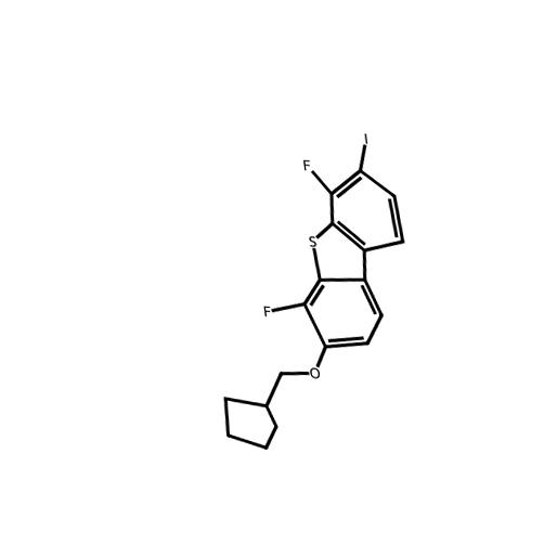 Fc1c(I)ccc2c1sc1c(F)c(OCC3CCCC3)ccc12